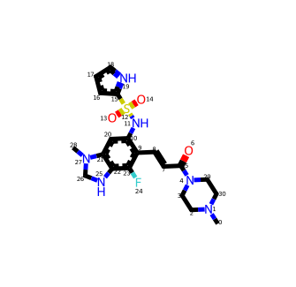 CN1CCN(C(=O)C=Cc2c(NS(=O)(=O)c3ccc[nH]3)cc3c(c2F)NCN3C)CC1